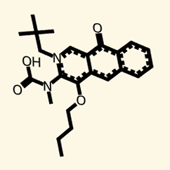 CCCCOc1c2cc3ccccc3c(=O)c-2cn(CC(C)(C)C)c1N(C)C(=O)O